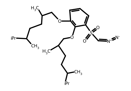 CC(CCC(C)C(C)C)COc1cccc(S(=O)(=O)C=[N+]=[N-])c1OCC(C)CCC(C)C(C)C